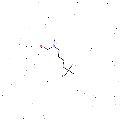 CCC(C)(C)CCCCN(C)CO